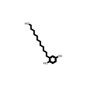 OCCCCCCCCCCCCc1cc(O)ccc1O